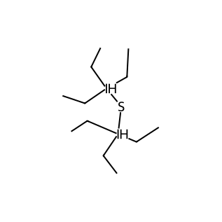 CC[IH](CC)(CC)S[IH](CC)(CC)CC